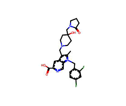 Cc1c(CN2CCC(O)(CN3CCCC3=O)CC2)c2cc(C(=O)O)ncc2n1Cc1ccc(F)cc1F